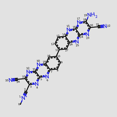 C[N+]#Cc1nc2nc3ccc(-c4ccc5nc6nc(N)c(C#N)nc6nc5c4)cc3nc2nc1C#N